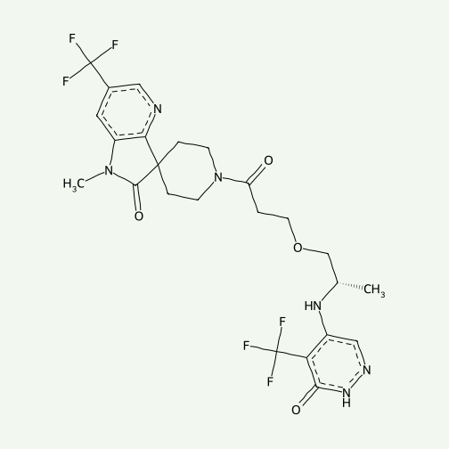 C[C@@H](COCCC(=O)N1CCC2(CC1)C(=O)N(C)c1cc(C(F)(F)F)cnc12)Nc1cn[nH]c(=O)c1C(F)(F)F